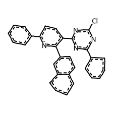 Clc1nc(-c2ccccc2)nc(-c2ccc(-c3ccccc3)nc2-c2ccc3ccccc3c2)n1